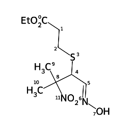 CCOC(=O)CCSC(C=NO)C(C)(C)[N+](=O)[O-]